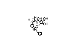 CC(C)(Cc1cccc(C(=O)NCCc2ccccc2)c1)NC[C@@H](O)c1ccc(O)c(CO)c1